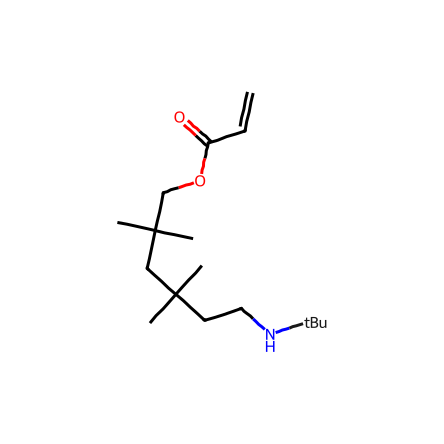 C=CC(=O)OCC(C)(C)CC(C)(C)CCNC(C)(C)C